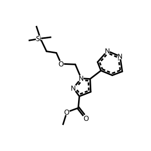 COC(=O)c1cc(-c2ccnnc2)n(COCC[Si](C)(C)C)n1